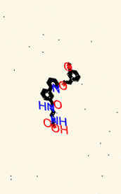 COc1cccc(CCOc2cccc(-c3cccc(C(=O)NCCNC(=O)O)c3)n2)c1